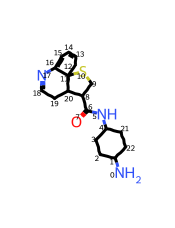 NC1CCC(NC(=O)C2CSC34CC=CC=C3N=CCC24)CC1